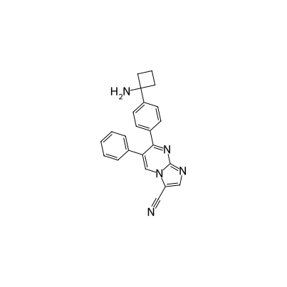 N#Cc1cnc2nc(-c3ccc(C4(N)CCC4)cc3)c(-c3ccccc3)cn12